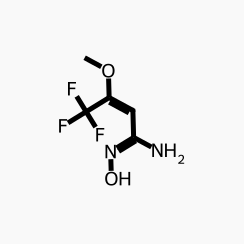 COC(=CC(N)=NO)C(F)(F)F